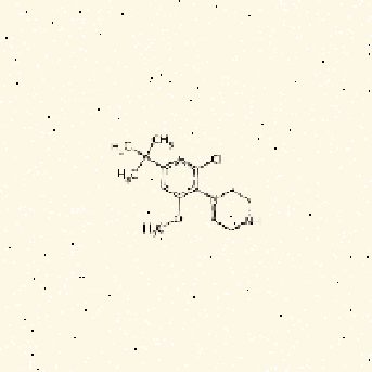 COc1cc(C(C)(C)C)cc(Cl)c1N1CCNCC1